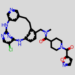 CN(Cc1ccc2cc1CCc1cncc(c1)Nc1ncc(Cl)c(n1)N2)C(=O)C1CCN(C(=O)c2ccno2)CC1